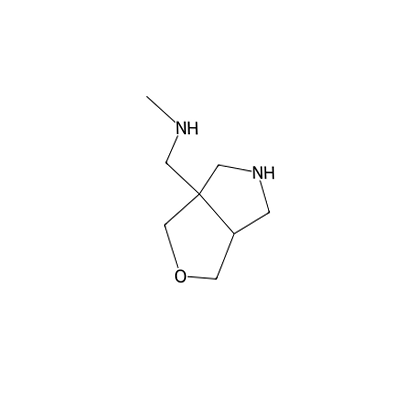 CNCC12CNCC1COC2